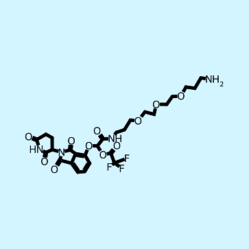 NCCCOCCOCCOCCCNC(=O)C(OC(=O)C(F)(F)F)Oc1cccc2c1C(=O)N(C1CCC(=O)NC1=O)C2=O